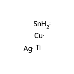 [Ag].[Cu].[SnH2].[Ti]